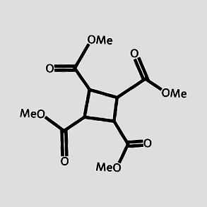 COC(=O)C1C(C(=O)OC)C(C(=O)OC)C1C(=O)OC